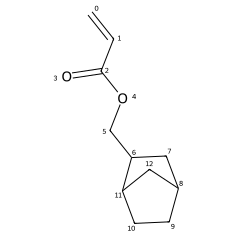 C=CC(=O)OCC1CC2CCC1C2